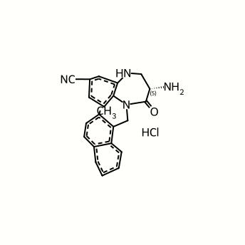 Cc1ccc2ccccc2c1CN1C(=O)[C@@H](N)CNc2cc(C#N)ccc21.Cl